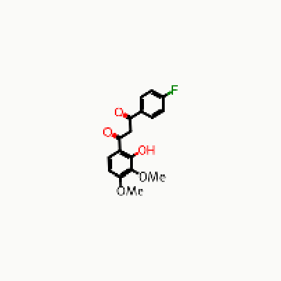 COc1ccc(C(=O)CC(=O)c2ccc(F)cc2)c(O)c1OC